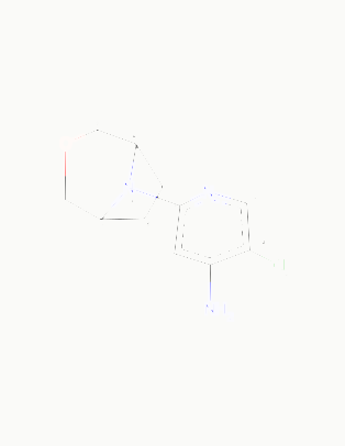 Nc1cc(N2C3CCC2COC3)ncc1Cl